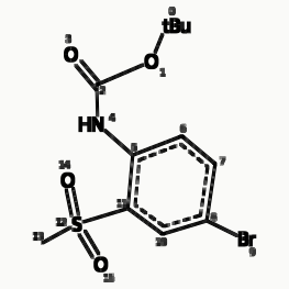 CC(C)(C)OC(=O)Nc1ccc(Br)cc1S(C)(=O)=O